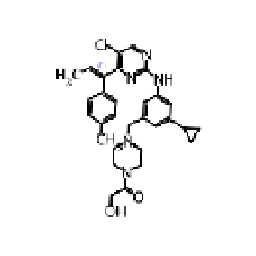 C/C=C(\c1ccc(C)cc1)c1nc(Nc2cc(CN3CCN(C(=O)CO)CC3)cc(C3CC3)c2)ncc1Cl